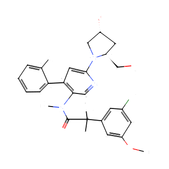 COc1cc(Cl)cc(C(C)(C)C(=O)N(C)c2cnc(N3C[C@H](O)C[C@H]3CO)cc2-c2ccccc2C)c1